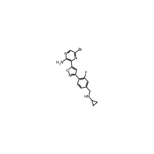 Nc1ncc(Br)nc1-c1cc(-c2ccc(CNC3CC3)cc2F)no1